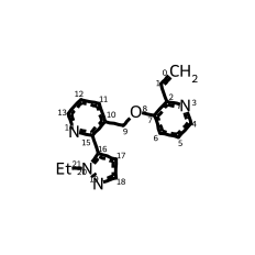 C=Cc1ncccc1OCc1cccnc1-c1ccnn1CC